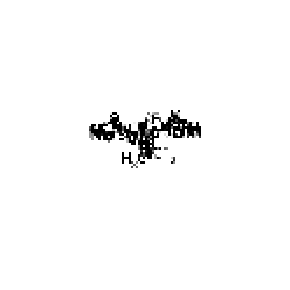 Cc1cc(C(F)(F)F)nn1CC(C(=O)C(Cn1nc(C(F)(F)F)cc1C)N1CCC(c2nc(CS(=O)(=O)CC=Cc3nnnn3-c3ccccc3)cs2)CC1)N1CCC(c2nc(CS(=O)(=O)CC=Cc3nnnn3-c3ccccc3)cs2)CC1